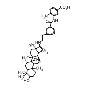 CCCC1(C(=O)NCCc2cccc(C(=O)Nc3cc(C(=O)O)ccc3N)c2)CC[C@]2(C)C(CCC3C4(C)CCC(O)C(C)(C)C4CCC32C)C1C